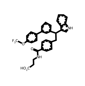 O=C(O)CCNC(=O)c1ccc(CC(c2cccc(-c3ccc(OC(F)(F)F)cc3)c2)c2c[nH]c3ccccc23)cc1